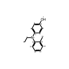 CCN(c1ccc(O)cc1)c1ccccc1C